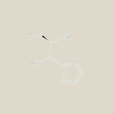 C[C@H](C(=O)O)C(O)c1ccco1